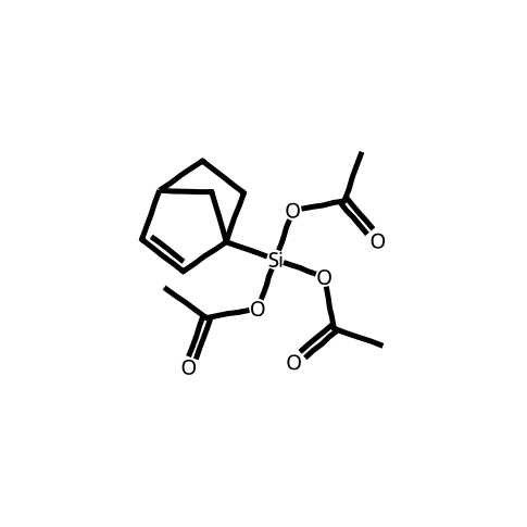 CC(=O)O[Si](OC(C)=O)(OC(C)=O)C12C=CC(CC1)C2